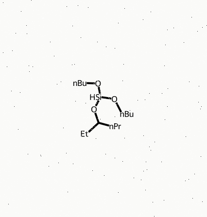 CCCCO[SiH](OCCCC)OC(CC)CCC